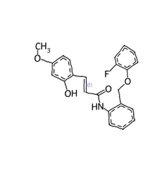 COc1ccc(/C=C/C(=O)Nc2ccccc2COc2ccccc2F)c(O)c1